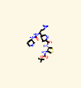 CN(C)CCC(NC(=O)Nc1cccnc1)c1ccc(C(=O)Nc2cscc2NC(=O)OC(C)(C)C)nc1